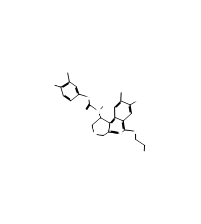 CN(C(=O)Nc1ccc(F)c(Cl)c1)C1COCc2nc(NCCO)c3cc(F)c(F)cc3c21